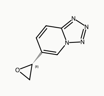 c1cc2nnnn2cc1[C@@H]1CO1